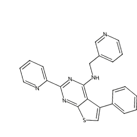 c1ccc(-c2csc3nc(-c4ccccn4)nc(NCc4cccnc4)c23)cc1